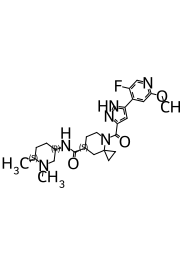 COc1cc(-c2cc(C(=O)N3CC[C@H](C(=O)N[C@@H]4CC[C@H](C)N(C)C4)CC34CC4)n[nH]2)c(F)cn1